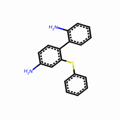 Nc1ccc(-c2ccccc2N)c(Sc2ccccc2)c1